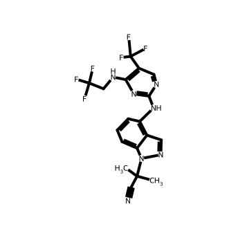 CC(C)(C#N)n1ncc2c(Nc3ncc(C(F)(F)F)c(NCC(F)(F)F)n3)cccc21